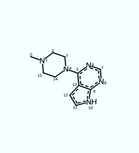 CN1CCN(c2ncnc3[nH]ccc23)CC1